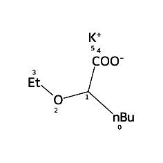 CCCCC(OCC)C(=O)[O-].[K+]